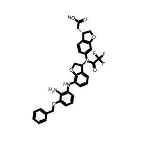 Nc1c(Nc2cccc3c2OC[C@H]3N(C(=O)C(F)(F)F)c2ccc3c(c2)OC[C@H]3CC(=O)O)cccc1OCc1ccccc1